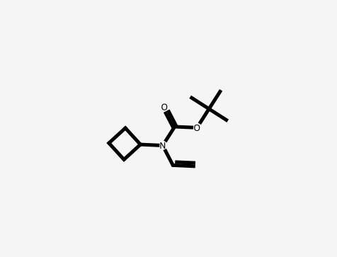 C=CN(C(=O)OC(C)(C)C)C1CCC1